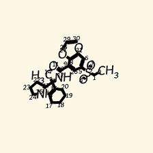 CCS(=O)(=O)c1cc2c(c(C(=O)NC(C)(C3=CCCCC3)C3CCCN3)c1)OCC=CO2